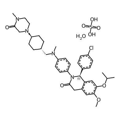 COc1cc2c(cc1OC(C)C)[C@H](c1ccc(Cl)cc1)N(c1ccc(N(C)C[C@H]3CC[C@H](N4CCN(C)C(=O)C4)CC3)cc1)C(=O)C2.O.O=S(=O)(O)O